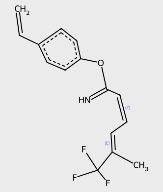 C=Cc1ccc(OC(=N)/C=C\C=C(/C)C(F)(F)F)cc1